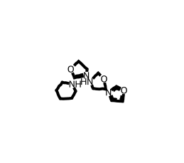 C1=NCCO1.C1CCNCC1.C1COCN1.c1cocn1